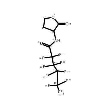 O=C1OCCC1NC(=O)C(F)(F)C(F)(F)C(F)(F)C(F)(F)C(F)(F)F